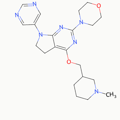 CN1CCCC(COc2nc(N3CCOCC3)nc3c2CCN3c2cncnc2)C1